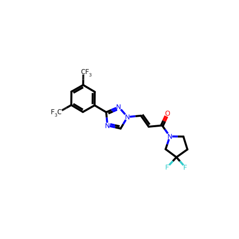 O=C(C=Cn1cnc(-c2cc(C(F)(F)F)cc(C(F)(F)F)c2)n1)N1CCC(F)(F)C1